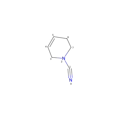 N#CN1CC=CCC1